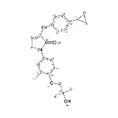 Cc1cc(N2CC=C(Oc3ccc(C4CC4)cc3)C2=O)ccc1OCC(C)(C)O